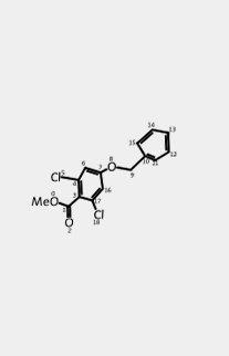 COC(=O)c1c(Cl)cc(OCc2ccccc2)cc1Cl